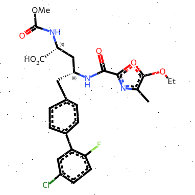 CCOc1oc(C(=O)N[C@H](Cc2ccc(-c3cc(Cl)ccc3F)cc2)C[C@@H](NC(=O)OC)C(=O)O)nc1C